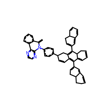 C=C1c2ccccc2-c2nccnc2N1c1ccc(C2C=CC3=C(C4=CCC5CCC=CC5=C4)C4=CC=CCC4C(C4=CCC5C=CC=CC5=C4)=C3C2)cc1